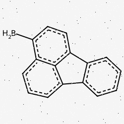 Bc1ccc2c3c(cccc13)-c1ccccc1-2